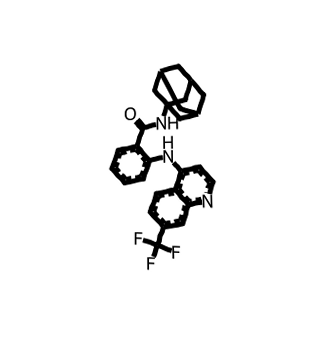 O=C(NC12CC3CC(CC(C3)C1)C2)c1ccccc1Nc1ccnc2cc(C(F)(F)F)ccc12